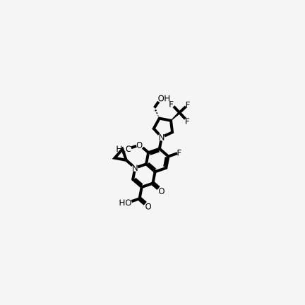 COc1c(N2C[C@H](CO)[C@@H](C(F)(F)F)C2)c(F)cc2c(=O)c(C(=O)O)cn(C3CC3)c12